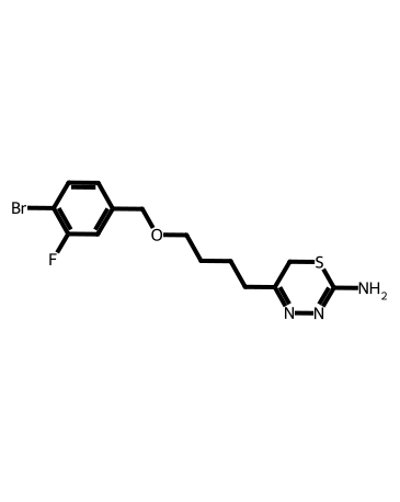 NC1=NN=C(CCCCOCc2ccc(Br)c(F)c2)CS1